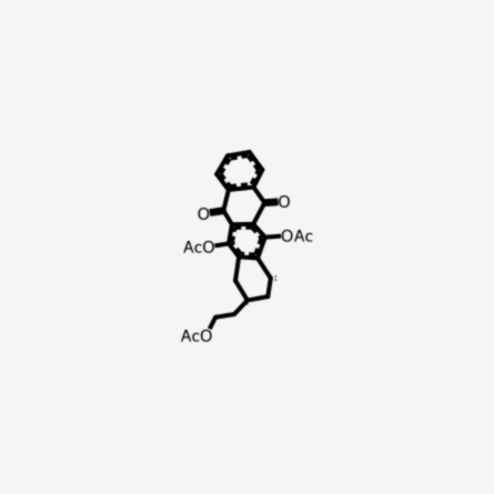 CC(=O)OCC[C]1C[C]c2c(c(OC(C)=O)c3c(c2OC(C)=O)C(=O)c2ccccc2C3=O)C1